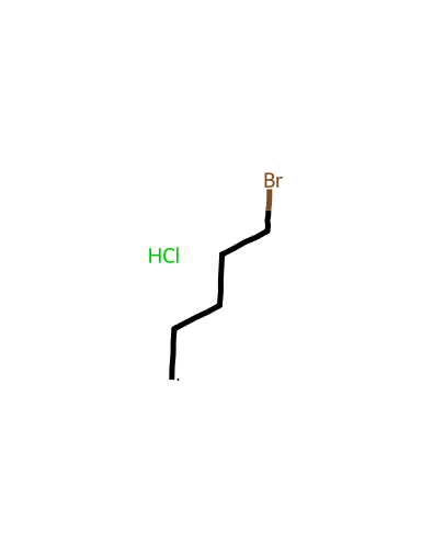 Cl.[CH2]CCCCBr